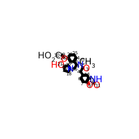 CN(C(=O)Cc1ccc2oc(=O)[nH]c2c1)C(CN1CC[C@@H](O)C1)c1cccc(OCC(=O)O)c1